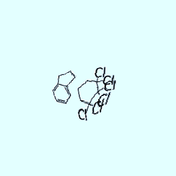 ClC1(Cl)CCCC(Cl)(Cl)C1(Cl)Cl.c1ccc2c(c1)CCC2